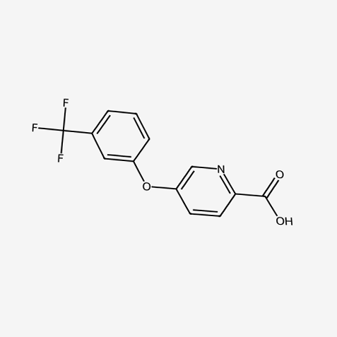 O=C(O)c1ccc(Oc2cccc(C(F)(F)F)c2)cn1